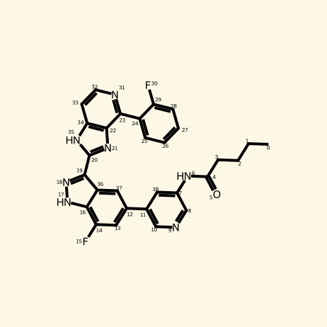 CCCCC(=O)Nc1cncc(-c2cc(F)c3[nH]nc(-c4nc5c(-c6ccccc6F)nccc5[nH]4)c3c2)c1